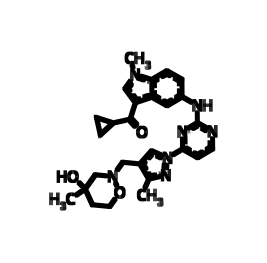 Cc1nn(-c2ccnc(Nc3ccc4c(c3)c(C(=O)C3CC3)cn4C)n2)cc1CN1CC(C)(O)CCO1